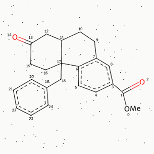 COC(=O)c1ccc2c(c1)CCC1CC(=O)CCC21Cc1ccccc1